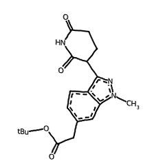 Cn1nc(C2CCC(=O)NC2=O)c2ccc(CC(=O)OC(C)(C)C)cc21